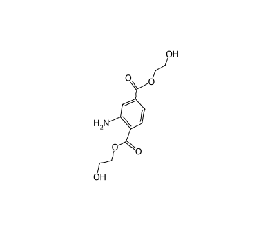 Nc1cc(C(=O)OCCO)ccc1C(=O)OCCO